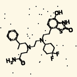 CC(CN(CCC(N)=O)CCN(CCc1ccc(O)c2[nH]c(=O)sc12)C1CCC(F)(F)CC1)c1ccccc1